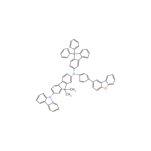 CC1(C)c2cc(N(c3ccc(-c4ccc5oc6ccccc6c5c4)cc3)c3ccc4c(c3)-c3ccccc3C4(c3ccccc3)c3ccccc3)ccc2-c2ccc(-n3c4ccccc4c4ccccc43)cc21